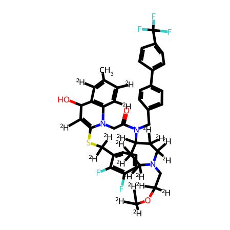 [2H]C1=C(SC([2H])([2H])c2cccc(F)c2F)N(CC(=O)N(Cc2ccc(-c3ccc(C(F)(F)F)cc3)cc2)C2([2H])C([2H])([2H])C([2H])([2H])N(CC([2H])([2H])OC([2H])([2H])[2H])C([2H])([2H])C2([2H])[2H])c2c([2H])c([2H])c(C)c([2H])c2C1O